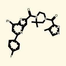 Cc1cnoc1C(=O)N1CCN(C(=O)c2cc3nc(-c4ccc(F)cc4)cc(C(C)C)c3o2)C(C)(C)C1